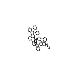 CC1(C)c2ccccc2-c2ccc(N(c3ccc4c(c3)C(c3ccccc3)(c3ccccc3)c3ccccc3-4)c3cc(-c4ccccc4)ccc3-c3ccccc3)cc21